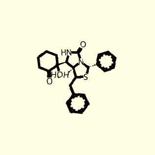 O=C1N[C@H](C2(O)CCCCC2=O)[C@@H]2C(Cc3ccccc3)S[C@@H](c3ccccc3)N12